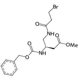 COC(=O)C[C@H](CNC(=O)CCBr)NC(=O)OCc1ccccc1